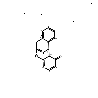 O=c1cccc2[nH]c3nc(c1-2)-c1ccccc1C3